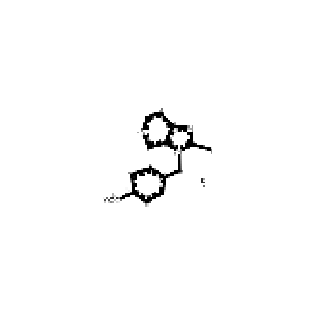 Cc1nc2ccncc2n1Cc1ccc(C(=O)[O-])cc1.[K+]